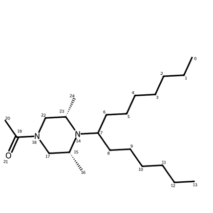 CCCCCCCC(CCCCCC)N1[C@H](C)CN(C(C)=O)C[C@@H]1C